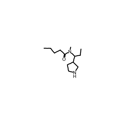 CCCCC(=O)N(C)C(CC)C1CCNC1